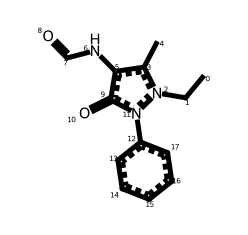 CCn1c(C)c(NC=O)c(=O)n1-c1ccccc1